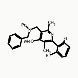 CCc1cccc(CC)c1-c1nc(C)c(CN(Cc2ccccc2)C(C)C)c(OC)c1C